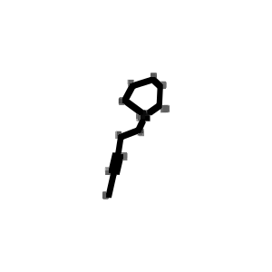 CC#CCCN1CCCCC1